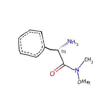 CON(C)C(=O)[C@@H](N)c1ccccc1